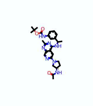 CC(=O)N[C@@H]1CCN(c2cc3c(NC(C)c4cccc(NC(=O)OC(C)(C)C)c4)nc(C)nc3cn2)C1